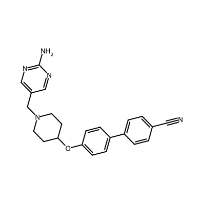 N#Cc1ccc(-c2ccc(OC3CCN(Cc4cnc(N)nc4)CC3)cc2)cc1